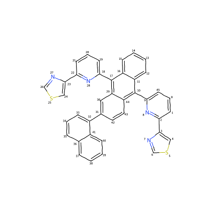 c1cc(-c2cscn2)nc(-c2c3ccccc3c(-c3cccc(-c4cscn4)n3)c3cc(-c4cccc5ccccc45)ccc23)c1